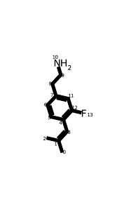 CC(C)=Cc1ccc(CCN)cc1F